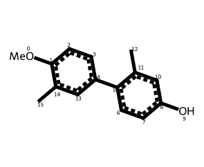 COc1ccc(-c2ccc(O)cc2C)cc1C